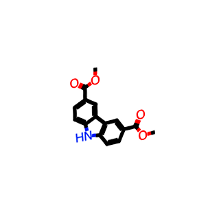 COC(=O)c1ccc2[nH]c3ccc(C(=O)OC)cc3c2c1